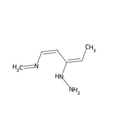 C=N/C=C\C(=C/C)NN